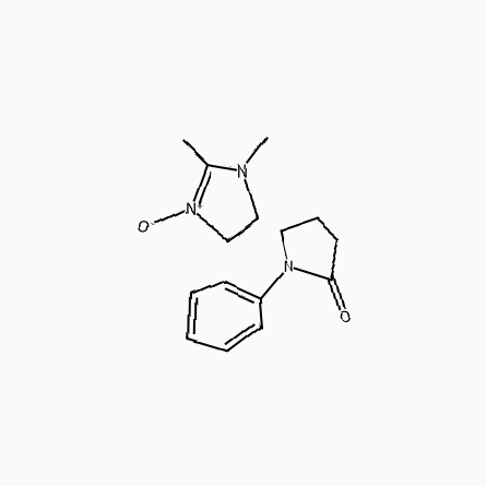 CC1=[N+]([O-])CCN1C.O=C1CCCN1c1ccccc1